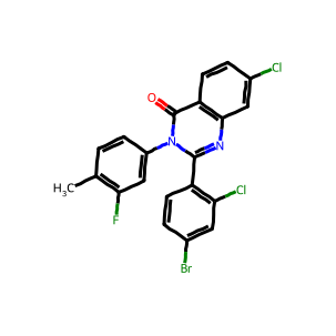 Cc1ccc(-n2c(-c3ccc(Br)cc3Cl)nc3cc(Cl)ccc3c2=O)cc1F